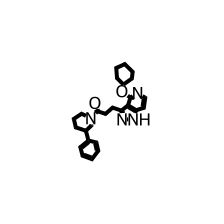 O=C(CCc1n[nH]c2ccnc(OC3CCCCC3)c12)N1CCCC(c2ccccc2)C1